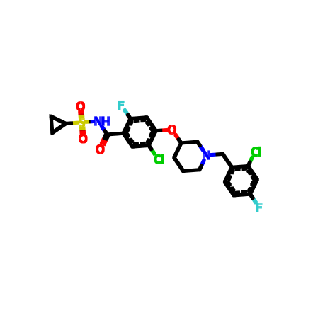 O=C(NS(=O)(=O)C1CC1)c1cc(Cl)c(OC2CCCN(Cc3ccc(F)cc3Cl)C2)cc1F